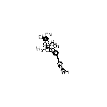 CC1(C)[C@H](Oc2ccc(C#N)c(Cl)c2)C(C)(C)[C@H]1N1Cc2cc(C#CC3CCN(C4CNC4)CC3)ccc2C1=O